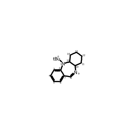 CC(C)(C)N1c2ccccc2C=NC2CCCCC21